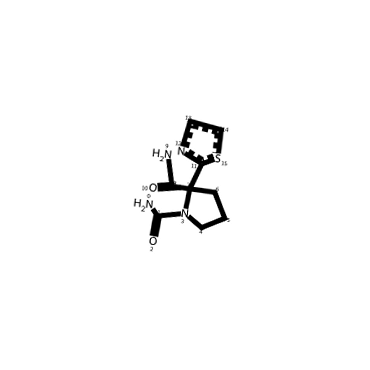 NC(=O)N1CCCC1(C(N)=O)c1nccs1